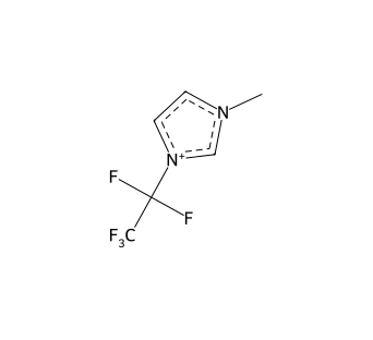 Cn1cc[n+](C(F)(F)C(F)(F)F)c1